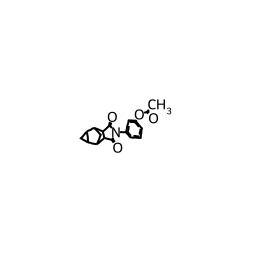 CC(=O)Oc1cccc(N2C(=O)C3C4CC(C5CC54)C3C2=O)c1